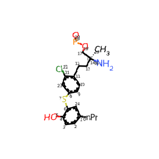 CCCc1ccc(O)c(Sc2ccc(CC[C@](C)(N)COP=O)c(Cl)c2)c1